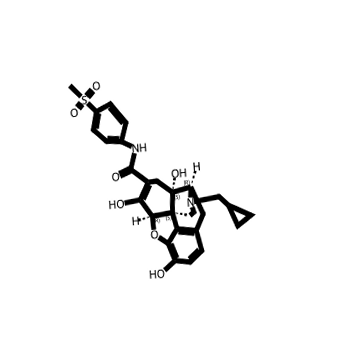 CS(=O)(=O)c1ccc(NC(=O)C2=C(O)[C@@H]3Oc4c(O)ccc5c4[C@@]34CCN(CC3CC3)[C@H](C5)[C@]4(O)C2)cc1